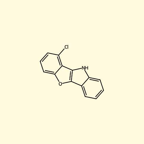 Clc1cccc2oc3c4ccccc4[nH]c3c12